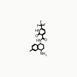 Cc1ccc2c(c1)[C@H](N)CC[C@H]2NC(=O)c1ccc(C(F)(F)F)[nH]c1=O